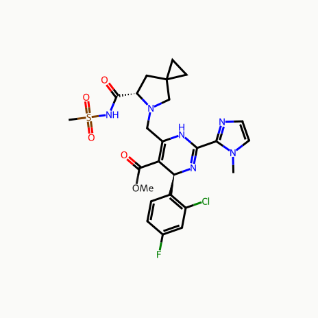 COC(=O)C1=C(CN2CC3(CC3)C[C@H]2C(=O)NS(C)(=O)=O)NC(c2nccn2C)=N[C@H]1c1ccc(F)cc1Cl